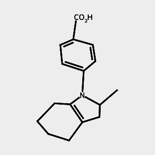 CC1CC2=C(CCCC2)N1c1ccc(C(=O)O)cc1